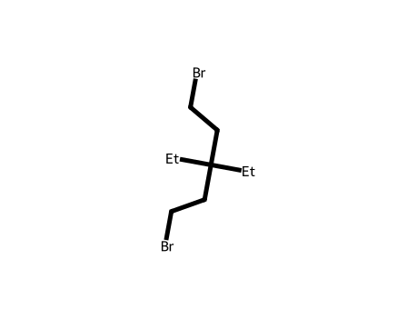 CCC(CC)(CCBr)CCBr